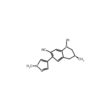 CC(C)N1C[C@@H](C)Cc2cc(-c3cnn(C)c3)c(C#N)cc21